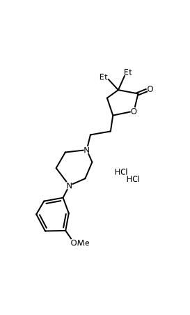 CCC1(CC)CC(CCN2CCN(c3cccc(OC)c3)CC2)OC1=O.Cl.Cl